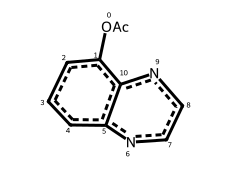 CC(=O)Oc1cccc2nccnc12